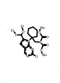 CCOC(OCC)c1cc2cnc(Cl)nc2n1C1(CN(C(=O)OC(C)(C)C)C(=O)OC(C)(C)C)CCCCC1